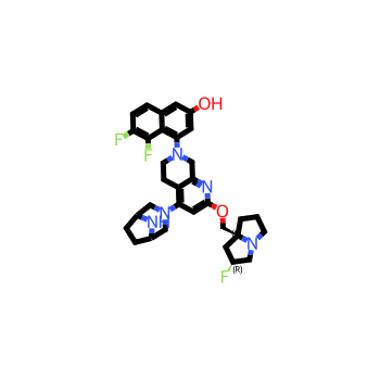 Oc1cc(N2CCc3c(N4CC5CCC(C4)N5)cc(OC[C@@]45CCCN4C[C@H](F)C5)nc3C2)c2c(F)c(F)ccc2c1